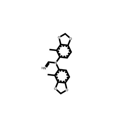 Cc1c(N(C=N)c2ccc3c(c2C)OCO3)ccc2c1OCO2